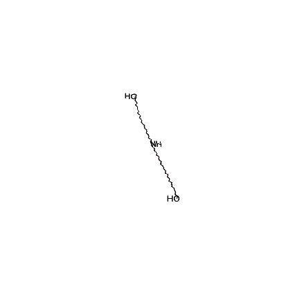 OCCCCCCCCCCCCCCCCCCCCCCCCNCCCCCCCCCCCCCCCCCCCCO